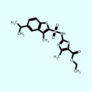 CCOC(=O)c1sc(NS(=O)(=O)c2sc3ccc(C(C)C)cc3c2C)nc1C